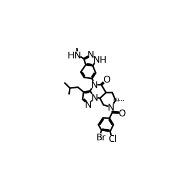 CNc1n[nH]c2cc(N3C(=O)C4C[C@H](C)N(C(=O)c5ccc(Br)c(Cl)c5)CC4n4ncc(CC(C)C)c43)ccc12